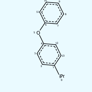 [CH2]C(C)c1ccc(Oc2ccccc2)cc1